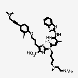 CNCCN(C)CCCCN(C(=N)/C=C(/C)C(=N)Nc1nc2ccccc2s1)c1nc(C(=O)O)c(CCCOC2=CCC(C#CCN(C)C)C=C2F)s1